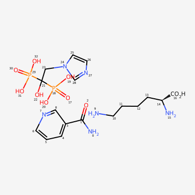 NC(=O)c1cccnc1.NCCCC[C@H](N)C(=O)O.O=P(O)(O)C(O)(Cn1ccnc1)P(=O)(O)O